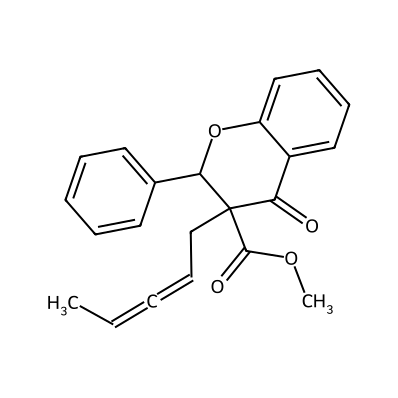 CC=C=CCC1(C(=O)OC)C(=O)c2ccccc2OC1c1ccccc1